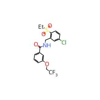 CCS(=O)(=O)c1ccc(Cl)cc1CNC(=O)c1cccc(OCC(F)(F)F)c1